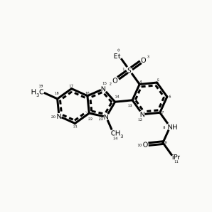 CCS(=O)(=O)c1ccc(NC(=O)C(C)C)nc1-c1nc2cc(C)ncc2n1C